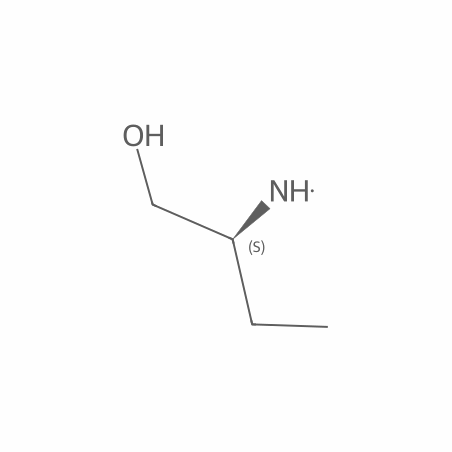 CC[C@H]([NH])CO